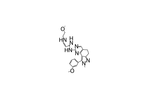 COCCN/C=C\C(=N)Nc1ncc2c(n1)-c1c(nn(C)c1-c1cccc(OC)c1)CC2